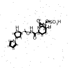 O=C(NOC[C@@H]1C[C@H](n2cccc2)CN1)[C@@H]1CC[C@@H]2CN1C(=O)N2OS(=O)(=O)O